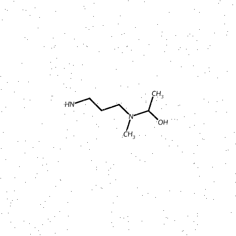 CC(O)N(C)CCC[NH]